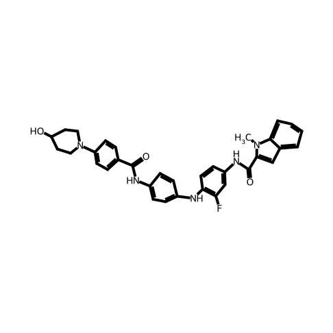 Cn1c(C(=O)Nc2ccc(Nc3ccc(NC(=O)c4ccc(N5CCC(O)CC5)cc4)cc3)c(F)c2)cc2ccccc21